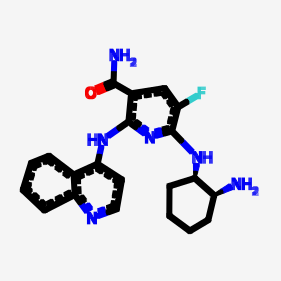 NC(=O)c1cc(F)c(N[C@@H]2CCCC[C@@H]2N)nc1Nc1ccnc2ccccc12